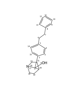 OC1(c2ccc(CCc3ccccc3)cc2)CN2CCC1CC2